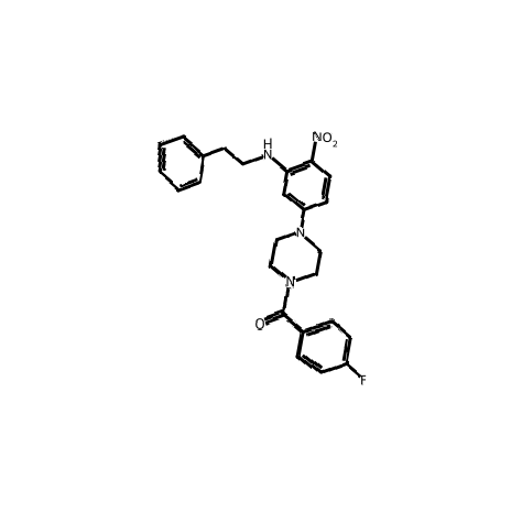 O=C(c1ccc(F)cc1)N1CCN(c2ccc([N+](=O)[O-])c(NCCc3ccccc3)c2)CC1